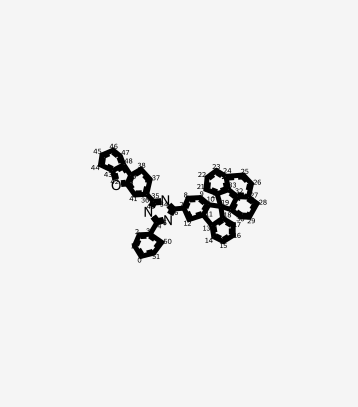 c1ccc(-c2nc(-c3ccc4c(c3)-c3ccccc3C43c4cccc5ccc6cccc3c6c45)nc(-c3ccc4c(c3)oc3ccccc34)n2)cc1